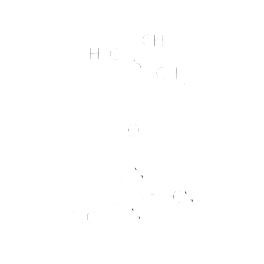 CS(C)(C)CCOCn1cc(C(F)(F)F)nc1C#N